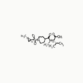 CC(C)[C@@H](C(=O)O)N(C)C(=O)C1CCN(S(=O)(=O)[C@H]2CN2C)CC1